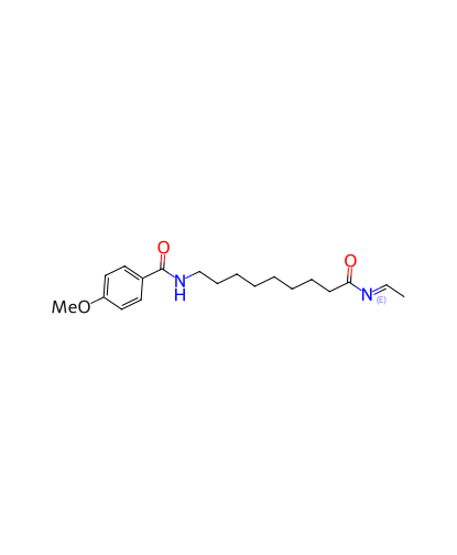 C/C=N/C(=O)CCCCCCCCNC(=O)c1ccc(OC)cc1